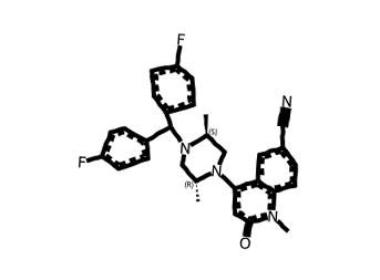 C[C@@H]1CN(C(c2ccc(F)cc2)c2ccc(F)cc2)[C@@H](C)CN1c1cc(=O)n(C)c2ccc(C#N)cc12